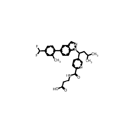 Cc1cc(C(F)F)ccc1-c1ccc2c(cnn2C(CC(C)C)c2ccc(C(=O)NCCC(=O)O)nc2)c1